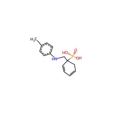 Cc1ccc(NCC2(P(=O)(O)O)C=CC=CC2)cc1